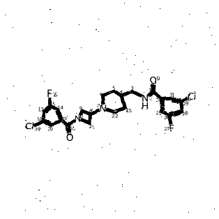 O=C(NCC1CCN(C2CN(C(=O)c3cc(F)cc(Cl)c3)C2)CC1)c1cc(F)cc(Cl)c1